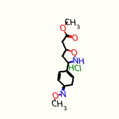 CON=C1C=CC(C2CC(CC(=O)OC)ON2)=CC1.Cl